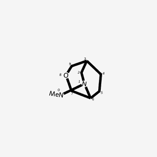 CNN1CC2CCC1COC2